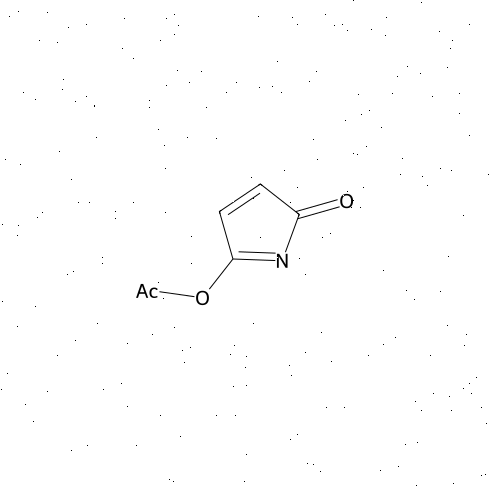 CC(=O)OC1=NC(=O)C=C1